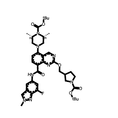 C[C@@H]1CN(c2ccc(C(=O)Nc3cc(F)c4nn(C)cc4c3)c3nc(OCC4CCN(C(=O)OC(C)(C)C)C4)ncc23)C[C@H](C)N1C(=O)OC(C)(C)C